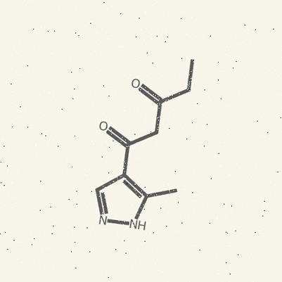 CCC(=O)CC(=O)c1cn[nH]c1C